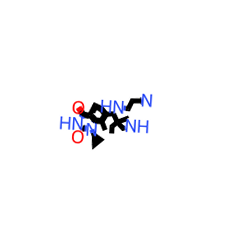 CCC1(C(NCCC#N)c2ccc3c(=O)[nH]c(=O)n(C4CC4)c3c2C)CNC1